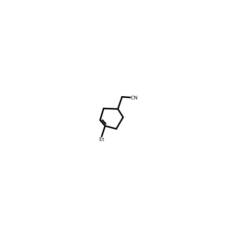 CCC1=CCC(CC#N)CC1